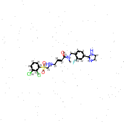 CN(Cc1ccc(C2=NCCN2)cc1F)C(=O)/C=C/CNCS(=O)(=O)c1cccc(Cl)c1Cl